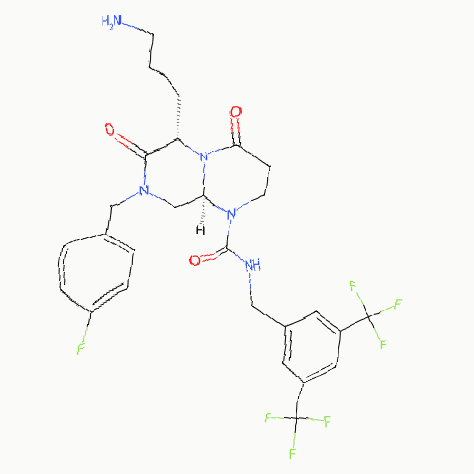 NCCC[C@H]1C(=O)N(Cc2ccc(F)cc2)C[C@@H]2N(C(=O)NCc3cc(C(F)(F)F)cc(C(F)(F)F)c3)CCC(=O)N21